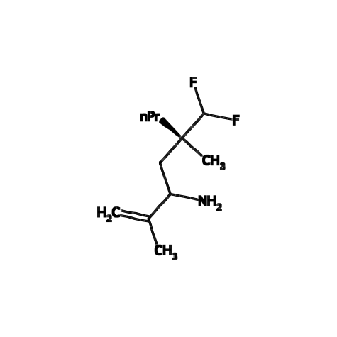 C=C(C)C(N)C[C@](C)(CCC)C(F)F